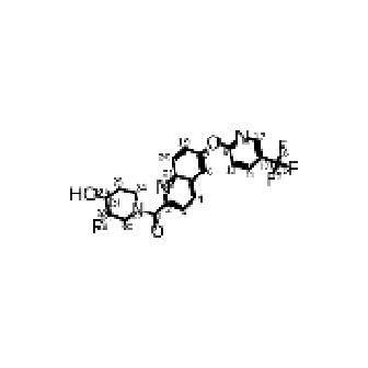 O=C(c1ccc2cc(Oc3ccc(C(F)(F)F)cn3)ccc2n1)N1CC[C@H](O)[C@@H](F)C1